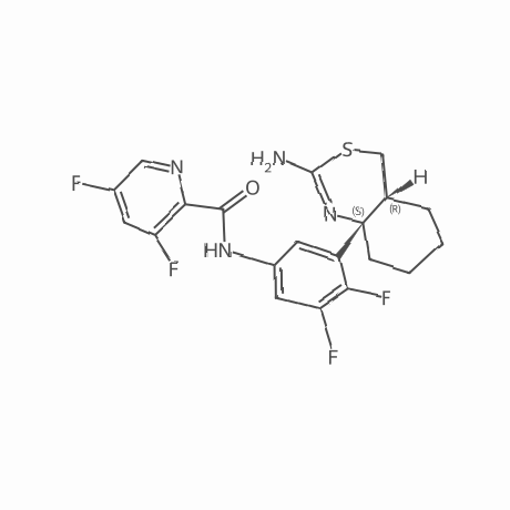 NC1=N[C@@]2(c3cc(NC(=O)c4ncc(F)cc4F)cc(F)c3F)CCCC[C@H]2CS1